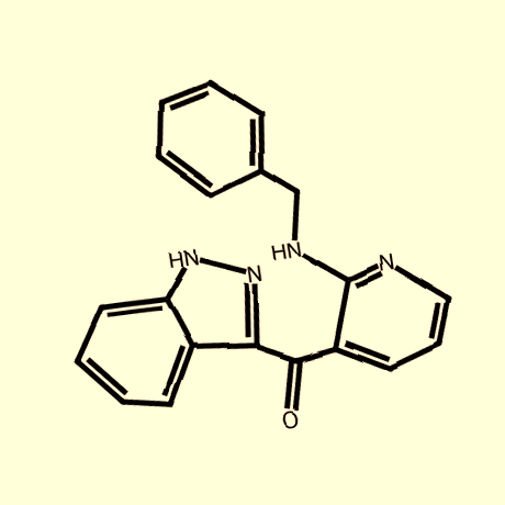 O=C(c1cccnc1NCc1ccccc1)c1n[nH]c2ccccc12